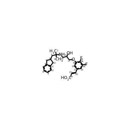 CC(C)(CC1Cc2ccccc2C1)NCC(O)COc1cc(C=CC(=O)O)cc(F)c1F